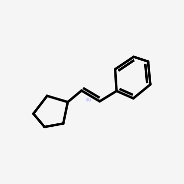 C(=C\C1CCCC1)/c1ccccc1